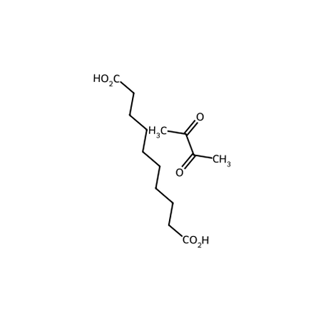 CC(=O)C(C)=O.O=C(O)CCCCCCCCC(=O)O